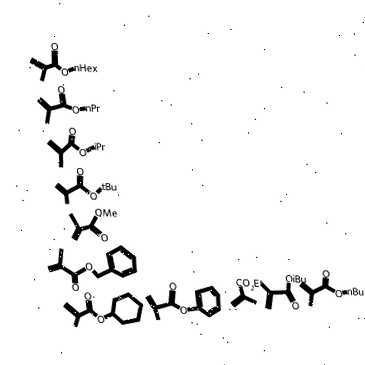 C=C(C)C(=O)OC.C=C(C)C(=O)OC(C)(C)C.C=C(C)C(=O)OC(C)C.C=C(C)C(=O)OC1CCCCC1.C=C(C)C(=O)OCC.C=C(C)C(=O)OCC(C)C.C=C(C)C(=O)OCCC.C=C(C)C(=O)OCCCC.C=C(C)C(=O)OCCCCCC.C=C(C)C(=O)OCc1ccccc1.C=C(C)C(=O)Oc1ccccc1